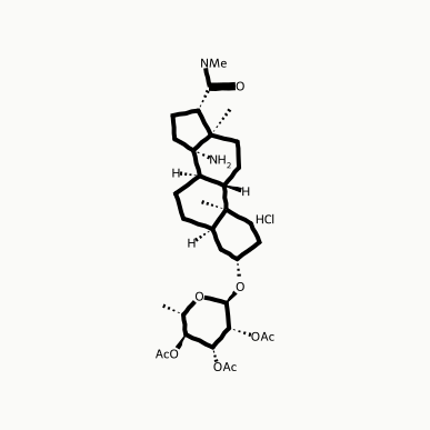 CNC(=O)[C@H]1CC[C@]2(N)[C@@H]3CC[C@@H]4C[C@@H](O[C@@H]5O[C@@H](C)[C@H](OC(C)=O)[C@@H](OC(C)=O)[C@H]5OC(C)=O)CC[C@]4(C)[C@H]3CC[C@]12C.Cl